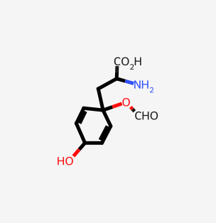 NC(CC1(OC=O)C=CC(O)C=C1)C(=O)O